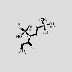 C=CC(=O)N(CC[N+](C)(C)C)P(=O)(O)O